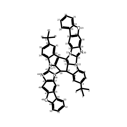 CC(C)(C)c1ccc2c(c1)C1c3c(n4c5cc6c(cc5nc4n3-2)oc2ccccc26)-c2c3n(c4ccc(C(C)(C)C)cc24)-c2nc4cc5oc6ccccc6c5cc4n2C31